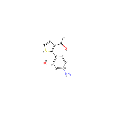 CC(=O)c1ccsc1-c1ccc(N)cc1O